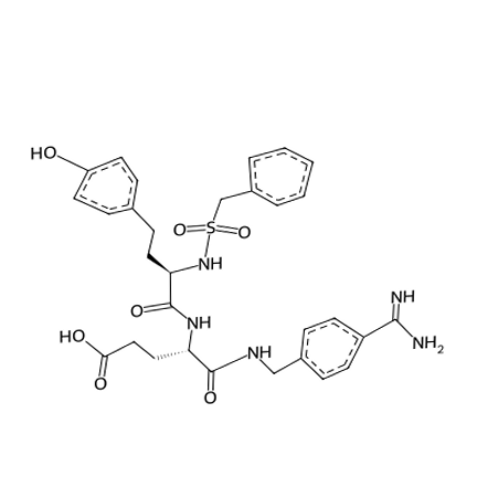 N=C(N)c1ccc(CNC(=O)[C@H](CCC(=O)O)NC(=O)[C@@H](CCc2ccc(O)cc2)NS(=O)(=O)Cc2ccccc2)cc1